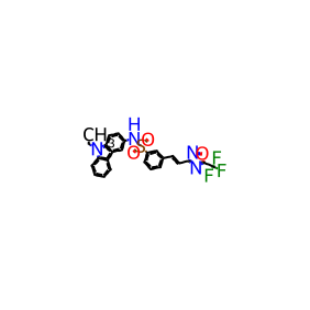 CCn1c2ccccc2c2cc(NS(=O)(=O)c3cccc(C=Cc4noc(C(F)(F)F)n4)c3)ccc21